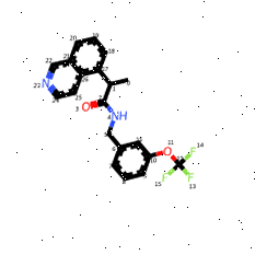 CC(C(=O)NCc1cccc(OC(F)(F)F)c1)c1cccc2cnccc12